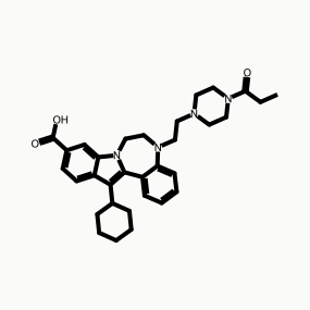 CCC(=O)N1CCN(CCN2CCn3c(c(C4CCCCC4)c4ccc(C(=O)O)cc43)-c3ccccc32)CC1